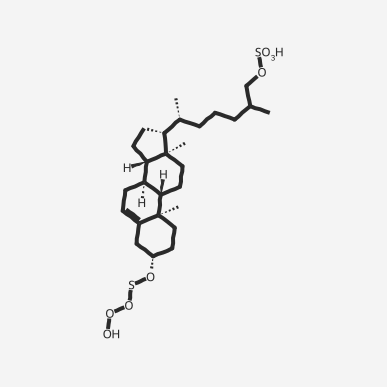 CC(CCC[C@@H](C)[C@H]1CC[C@H]2[C@@H]3CC=C4C[C@@H](OSOOO)CC[C@]4(C)[C@H]3CC[C@]12C)COS(=O)(=O)O